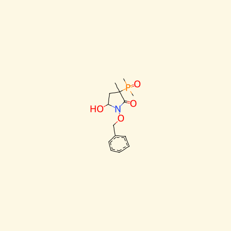 CC1(P(C)(C)=O)CC(O)N(OCc2ccccc2)C1=O